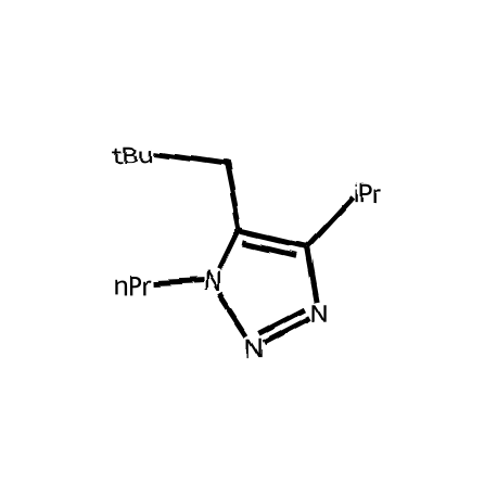 CCCn1nnc(C(C)C)c1CC(C)(C)C